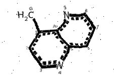 [CH2]c1ccnc2cccnc12